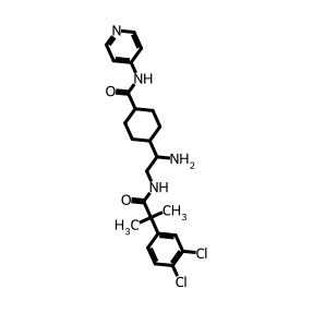 CC(C)(C(=O)NCC(N)C1CCC(C(=O)Nc2ccncc2)CC1)c1ccc(Cl)c(Cl)c1